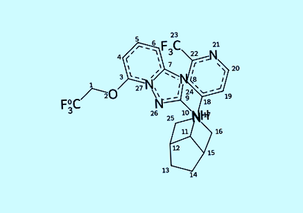 FC(F)(F)COc1cccc2nc(NC3C4CCC3CN(c3ccnc(C(F)(F)F)c3)C4)nn12